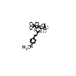 COc1ccc(C=Cc2nc(C(Cl)(Cl)Cl)nc(C(Cl)(Cl)Cl)n2)cc1